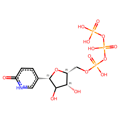 O=c1ccc([C@@H]2O[C@H](COP(=O)(O)OP(=O)(O)OP(=O)(O)O)[C@H](O)C2O)c[nH]1